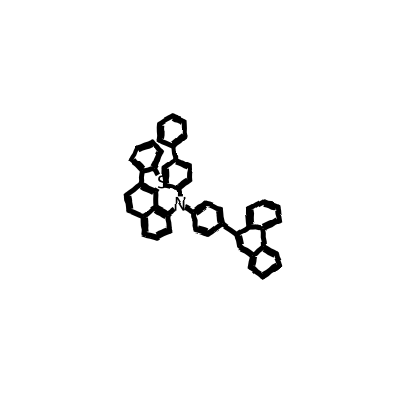 c1ccc(-c2ccc(N(c3ccc(-c4cc5ccccc5c5ccccc45)cc3)c3cccc4ccc5c6ccccc6sc5c34)cc2)cc1